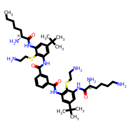 CCCCC[C@@H](N)C(=O)Nc1cc(C(C)(C)C)cc(NC(=O)c2cccc(C(=O)Nc3cc(C(C)(C)C)cc(NC(=O)[C@H](N)CCCCN)c3SCCN)c2)c1SCCN